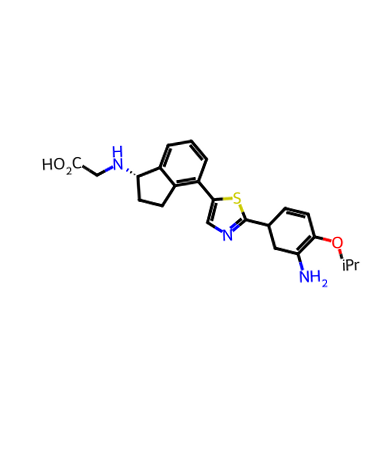 CC(C)OC1=C(N)CC(c2ncc(-c3cccc4c3CC[C@@H]4NCC(=O)O)s2)C=C1